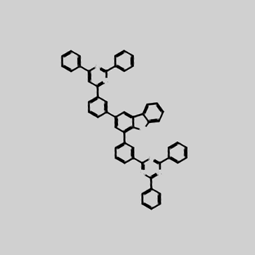 c1ccc(-c2cc(-c3cccc(-c4cc(-c5cccc(-c6nc(-c7ccccc7)nc(-c7ccccc7)n6)c5)c5oc6ccccc6c5c4)c3)nc(-c3ccccc3)n2)cc1